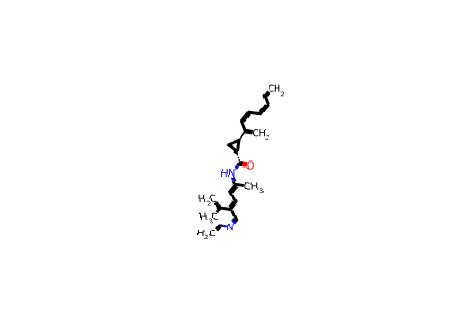 C=C/C=C\C=C/C(=C)[C@@H]1C[C@H]1C(=O)N/C(C)=C/C=C(/C=N\C=C)C(=C)C